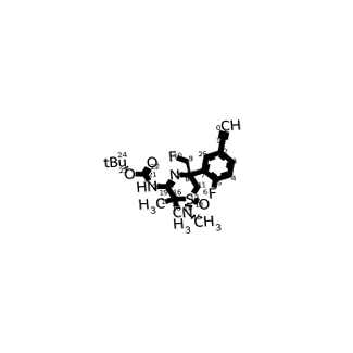 C#Cc1ccc(F)c([C@]2(CF)CS(=O)(=NC)C(C)(C)C(NC(=O)OC(C)(C)C)=N2)c1